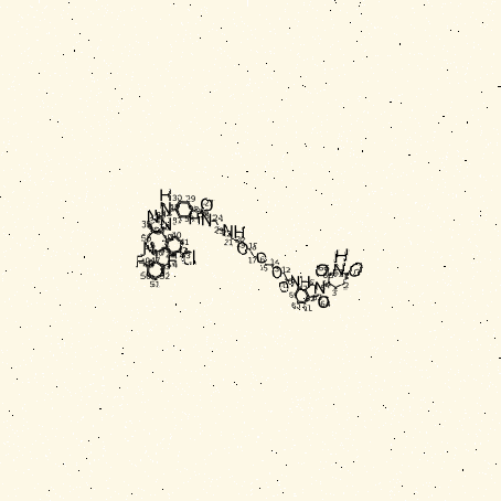 O=C1CCC(N2Cc3c(NC(=O)COCCOCCOCCNCCNC(=O)c4ccc(Nc5ncc6c(n5)-c5ccc(Cl)cc5C(c5c(F)cccc5F)=NC6)cc4)cccc3C2=O)C(=O)N1